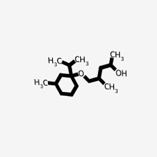 CC(O)CC(C)COC1(C(C)C)CCCC(C)C1